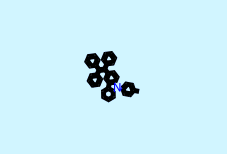 Cc1ccc(N2c3ccc(C(=C(c4ccccc4)c4ccccc4)c4ccccc4)cc3C3CCCCC32)cc1